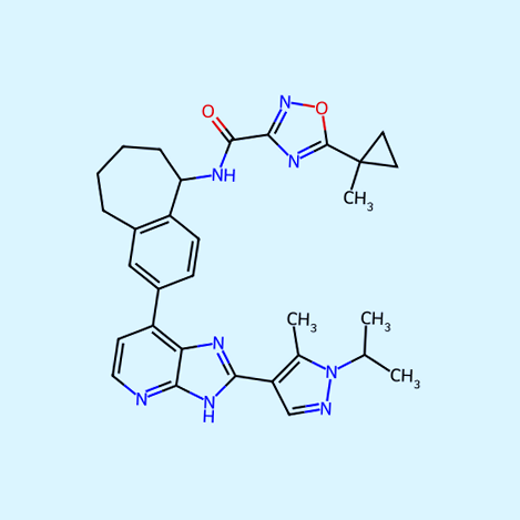 Cc1c(-c2nc3c(-c4ccc5c(c4)CCCCC5NC(=O)c4noc(C5(C)CC5)n4)ccnc3[nH]2)cnn1C(C)C